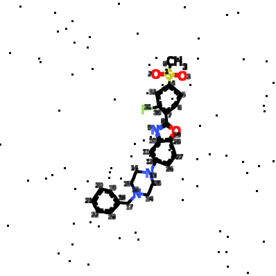 CS(=O)(=O)c1ccc(-c2nc3cc(N4CCN(Cc5ccccc5)CC4)ccc3o2)c(F)c1